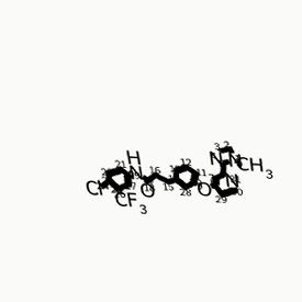 CN1CCN=C1c1cc(Oc2cccc(CCC(=O)Nc3ccc(Cl)c(C(F)(F)F)c3)c2)ccn1